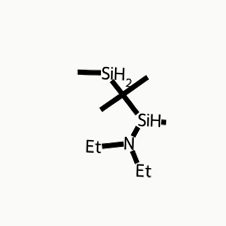 CCN(CC)[SiH](C)C(C)(C)[SiH2]C